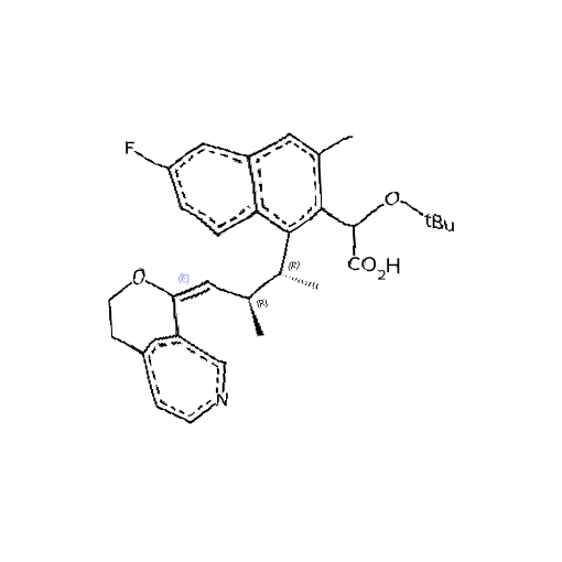 Cc1cc2cc(F)ccc2c([C@H](C)[C@@H](C)/C=C2/OCCc3ccncc32)c1C(OC(C)(C)C)C(=O)O